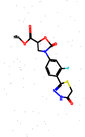 CCCCOC(=O)C1CN(c2ccc(C3=NNC(=O)CS3)c(F)c2)C(=O)O1